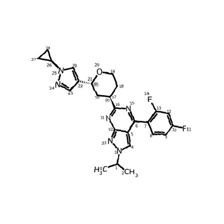 CC(C)n1cc2c(-c3ccc(F)cc3F)nc([C@@H]3CCO[C@@H](c4cnn(C5CC5)c4)C3)nc2n1